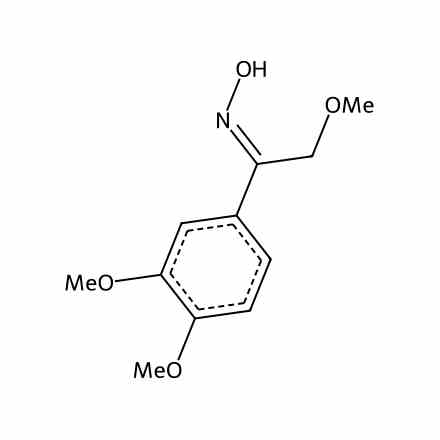 COCC(=NO)c1ccc(OC)c(OC)c1